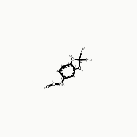 O=C=Nc1ccc2c(c1)OC(F)(F)O2